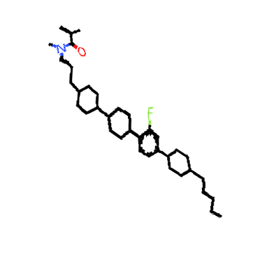 C=C(C)C(=O)N(C)CCCC1CCC(C2CCC(c3ccc(C4CCC(CCCCC)CC4)cc3F)CC2)CC1